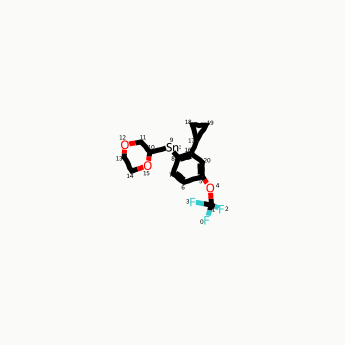 FC(F)(F)Oc1cc[c]([Sn][CH]2COCCO2)c(C2CC2)c1